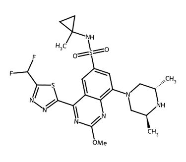 COc1nc(-c2nnc(C(F)F)s2)c2cc(S(=O)(=O)NC3(C)CC3)cc(N3C[C@H](C)N[C@@H](C)C3)c2n1